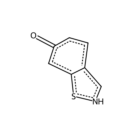 O=c1ccc2c[nH]sc-2c1